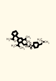 CC(C)c1cc(-c2ccccc2C(N)=O)cc(C(C)C)c1CC(=O)NS(=O)(=O)c1ccc(CN(C)C)cc1